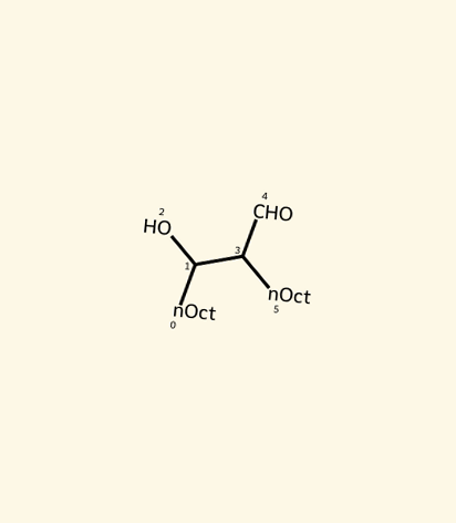 CCCCCCCCC(O)C(C=O)CCCCCCCC